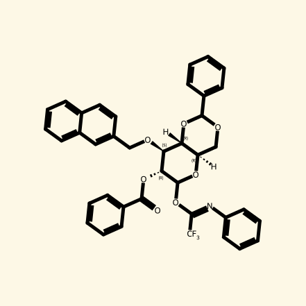 O=C(O[C@H]1C(OC(=Nc2ccccc2)C(F)(F)F)O[C@@H]2COC(c3ccccc3)O[C@H]2[C@@H]1OCc1ccc2ccccc2c1)c1ccccc1